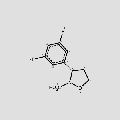 O=C(O)N1OCC[C@H]1c1cc(F)cc(F)c1